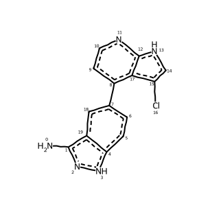 Nc1n[nH]c2ccc(-c3ccnc4[nH]cc(Cl)c34)cc12